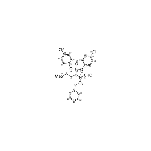 CSCCC(N(C=O)OCc1ccccc1)P(=O)(Oc1ccc(Cl)cc1)Oc1ccc(Cl)cc1